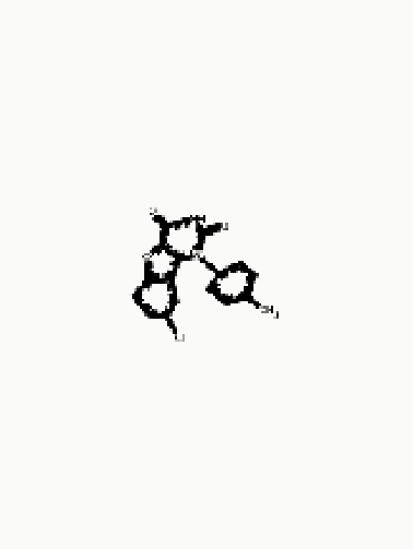 Cc1ccc(-n2c(=O)[nH]c(=O)c3oc4ccc(Cl)cc4c32)cc1